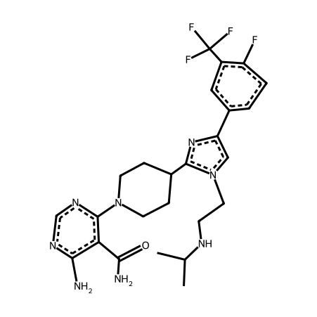 CC(C)NCCn1cc(-c2ccc(F)c(C(F)(F)F)c2)nc1C1CCN(c2ncnc(N)c2C(N)=O)CC1